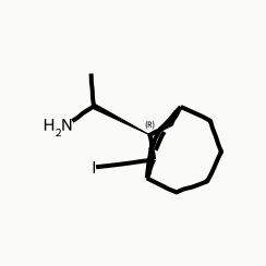 CC(N)[C@H]1CC2C=CC(CCCC2)C1I